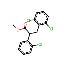 COC(=O)C(Cc1c(Cl)cccc1Cl)c1ccccc1Cl